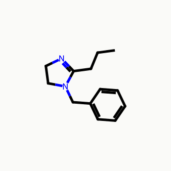 CCCC1=NCCN1Cc1ccccc1